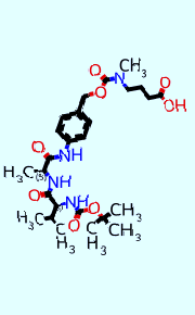 CC(C)[C@H](NC(=O)OC(C)(C)C)C(=O)N[C@@H](C)C(=O)Nc1ccc(COC(=O)N(C)CCCC(=O)O)cc1